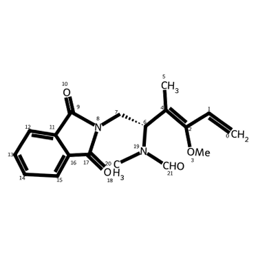 C=C/C(OC)=C(\C)[C@@H](CN1C(=O)c2ccccc2C1=O)N(C)C=O